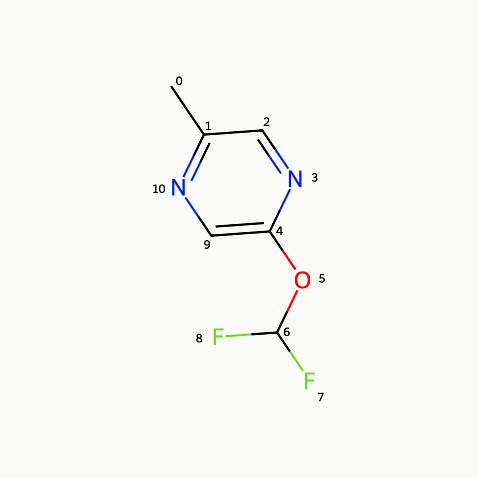 Cc1cnc(OC(F)F)cn1